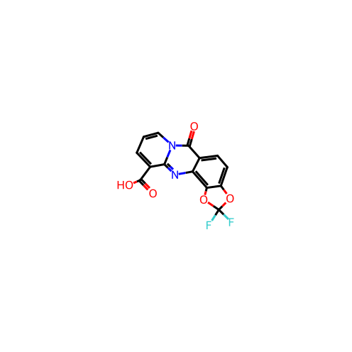 O=C(O)c1cccn2c(=O)c3ccc4c(c3nc12)OC(F)(F)O4